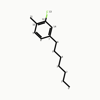 CCCCCCCc1ccc(C)c(F)c1